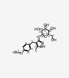 CCCCOc1ccc(Cc2c(O[C@@H]3O[C@H](CO)[C@@H](O)[C@H](O)[C@H]3O)n[nH]c2C)cc1